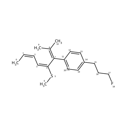 C/C=C\C=C(\SC)C(=C(C)C)c1ccc(CCCF)cn1